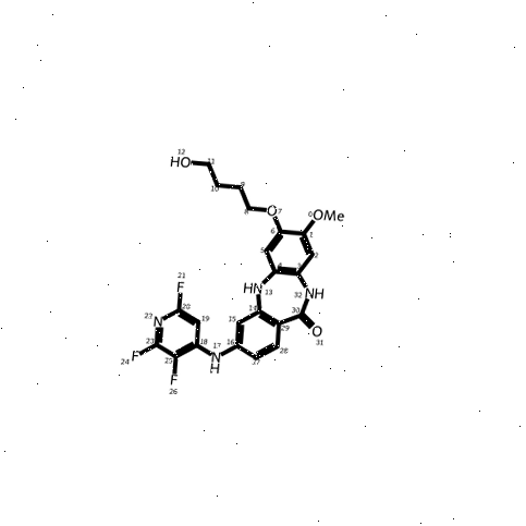 COc1cc2c(cc1OCCCCO)Nc1cc(Nc3cc(F)nc(F)c3F)ccc1C(=O)N2